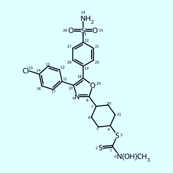 CN(O)C(=S)SC1CCC(c2nc(-c3ccc(Cl)cc3)c(-c3ccc(S(N)(=O)=O)cc3)o2)CC1